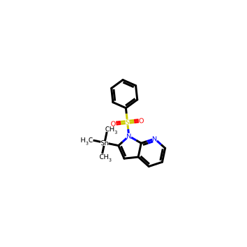 [CH3][Sn]([CH3])([CH3])[c]1cc2cccnc2n1S(=O)(=O)c1ccccc1